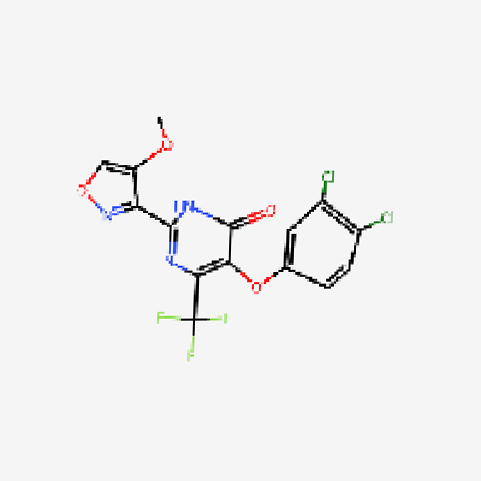 COc1conc1-c1nc(C(F)(F)F)c(Oc2ccc(Cl)c(Cl)c2)c(=O)[nH]1